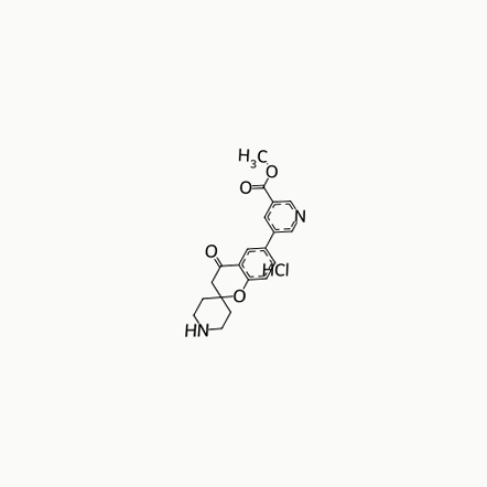 COC(=O)c1cncc(-c2ccc3c(c2)C(=O)CC2(CCNCC2)O3)c1.Cl